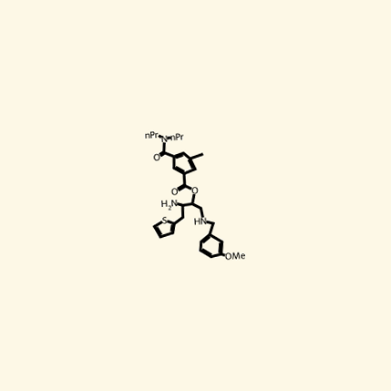 CCCN(CCC)C(=O)c1cc(C)cc(C(=O)OC(CNCc2cccc(OC)c2)C(N)Cc2cccs2)c1